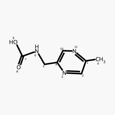 Cc1cnc(CNC(=O)O)cn1